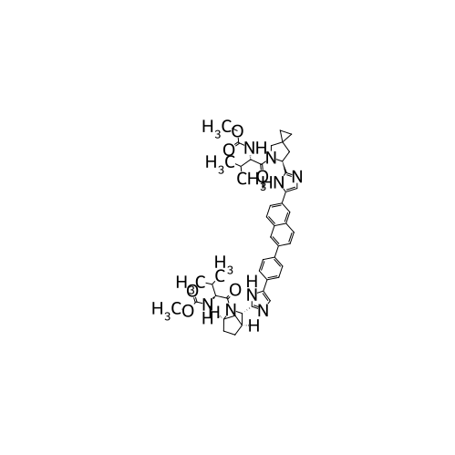 COC(=O)N[C@H](C(=O)N1CC2(CC2)C[C@H]1c1ncc(-c2ccc3cc(-c4ccc(-c5cnc([C@@H]6[C@H]7CC[C@H](C7)N6C(=O)[C@@H](NC(=O)OC)C(C)C)[nH]5)cc4)ccc3c2)[nH]1)C(C)C